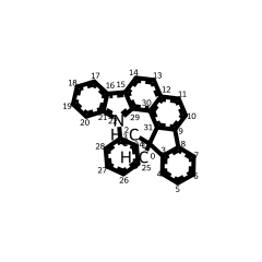 CC1(C)c2ccccc2-c2ccc3ccc4c5ccccc5n(-c5ccccc5)c4c3c21